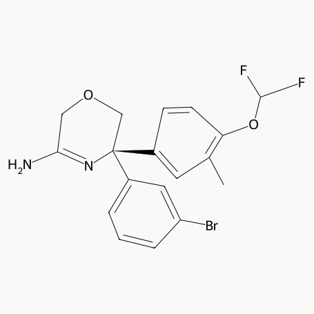 Cc1cc([C@]2(c3cccc(Br)c3)COCC(N)=N2)ccc1OC(F)F